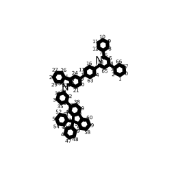 c1ccc(-c2cc(-c3ccccc3)nc(-c3ccc(-c4ccc5c(c4)c4ccccc4n5-c4cccc(-c5ccc6c(c5)C(c5ccccc5)(c5ccccc5)c5ccccc5-6)c4)cc3)c2)cc1